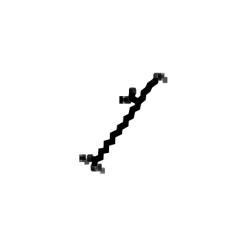 CCCCCCC(CCCCCCCCCCCCCC(C)C)C(=O)O